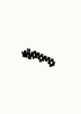 O=C(Nc1nncs1)N1CCN(Cc2cccc(OCCC3CCCCC3)c2)CC1